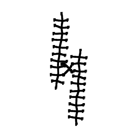 O=P(O)(OC(F)(C(F)(F)F)C(F)(F)C(F)(F)C(F)(F)C(F)(F)C(F)(F)C(F)(F)C(F)(F)C(F)(F)F)OC(F)(C(F)(F)F)C(F)(F)C(F)(F)C(F)(F)C(F)(F)C(F)(F)C(F)(F)C(F)(F)C(F)(F)F